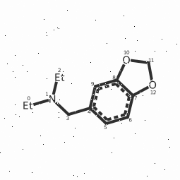 CCN(CC)Cc1ccc2c(c1)OCO2